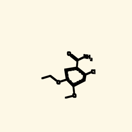 CCOc1cc(C(N)=O)c(Cl)cc1OC